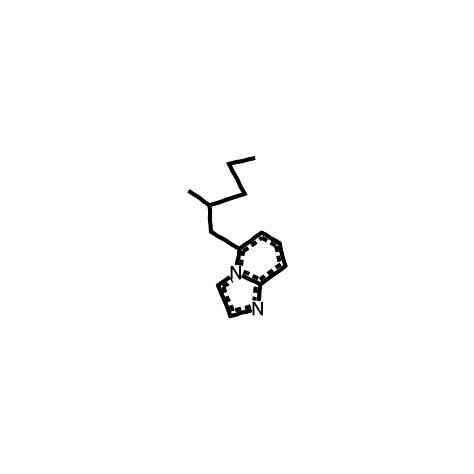 CCCC(C)Cc1cccc2nccn12